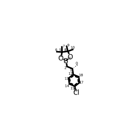 C[C@@H](CB1OC(C)(C)C(C)(C)O1)c1ccc(Cl)cc1